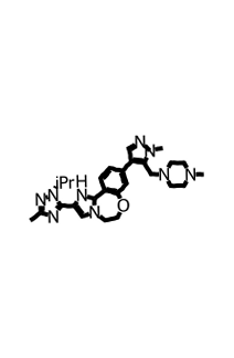 Cc1nc(C2=CN3CCOc4cc(-c5cnn(C)c5CN5CCN(C)CC5)ccc4C3N2)n(C(C)C)n1